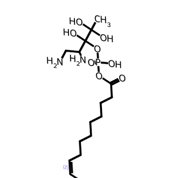 CCCCCCCC/C=C\CCCCCCCC(=O)OP(=O)(O)OC(O)(C(N)CN)C(C)(O)O